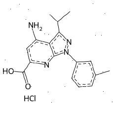 Cc1cccc(-n2nc(C(C)C)c3c(N)cc(C(=O)O)nc32)c1.Cl